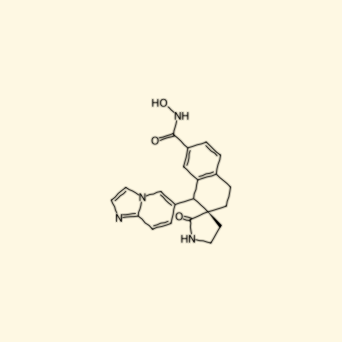 O=C(NO)c1ccc2c(c1)C(c1ccc3nccn3c1)[C@]1(CCNC1=O)CC2